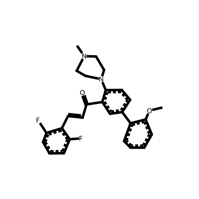 COc1ccccc1-c1ccc(N2CCN(C)CC2)c(C(=O)C=Cc2c(F)cccc2F)c1